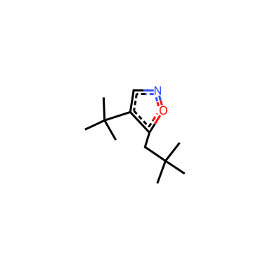 CC(C)(C)Cc1oncc1C(C)(C)C